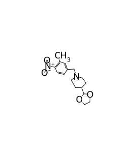 Cc1cc(CN2CCC(C3OCCO3)CC2)ccc1[N+](=O)[O-]